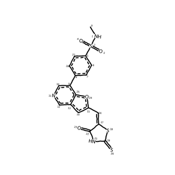 CNS(=O)(=O)c1ccc(-c2cncc3cc(C=C4SC(=S)NC4=O)oc23)cc1